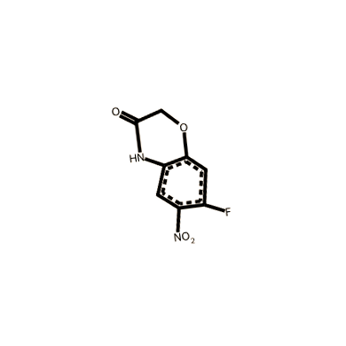 O=C1COc2cc(F)c([N+](=O)[O-])cc2N1